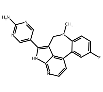 CN1Cc2c(-c3cnc(N)nc3)[nH]c3nccc(c23)-c2cc(F)ccc21